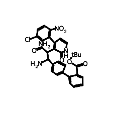 CC(C)(C)OC(=O)c1ccccc1-c1ccc(C(N)C(C(N)=O)c2c(-c3cc(Cl)ccc3[N+](=O)[O-])cc[nH]c2=O)cc1